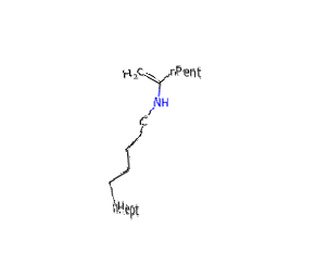 C=C(CCCCC)NCCCCCCCCCCCC